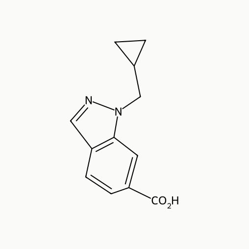 O=C(O)c1ccc2cnn(CC3CC3)c2c1